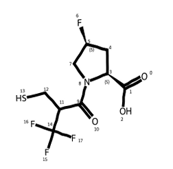 O=C(O)[C@@H]1C[C@H](F)CN1C(=O)C(CS)C(F)(F)F